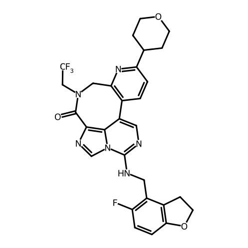 O=C1c2ncn3c(NCc4c(F)ccc5c4CCO5)ncc(c23)-c2ccc(C3CCOCC3)nc2CN1CC(F)(F)F